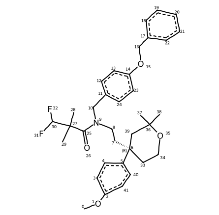 COc1ccc([C@]2(CCN(Cc3ccc(OCc4ccccc4)cc3)C(=O)C(C)(C)C(F)F)CCOC(C)(C)C2)cc1